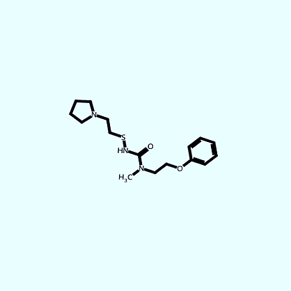 CN(CCOc1ccccc1)C(=O)NSCCN1CCCC1